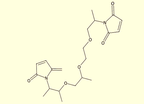 C=C1C=CC(=O)N1C(C)C(C)OCC(C)OCCOCC(C)N1C(=O)C=CC1=O